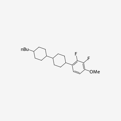 CCCCC1CCC(C2CCC(c3ccc(OC)c(F)c3F)CC2)CC1